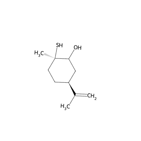 C=C(C)[C@H]1CC[C@@](C)(S)C(O)C1